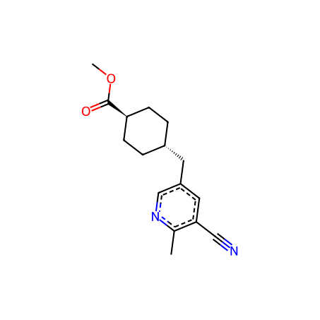 COC(=O)[C@H]1CC[C@H](Cc2cnc(C)c(C#N)c2)CC1